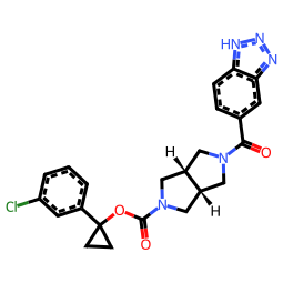 O=C(OC1(c2cccc(Cl)c2)CC1)N1C[C@@H]2CN(C(=O)c3ccc4[nH]nnc4c3)C[C@@H]2C1